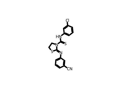 N#Cc1cccc(N=C2SCCN2C(=S)Nc2cccc(Cl)c2)c1